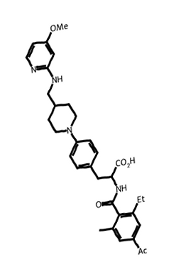 CCc1cc(C(C)=O)cc(C)c1C(=O)NC(Cc1ccc(N2CCC(CNc3cc(OC)ccn3)CC2)cc1)C(=O)O